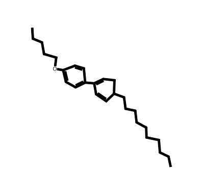 CCCCCCCCCCC1C=CC(c2ccc(OCCCCC)cc2)=CC1